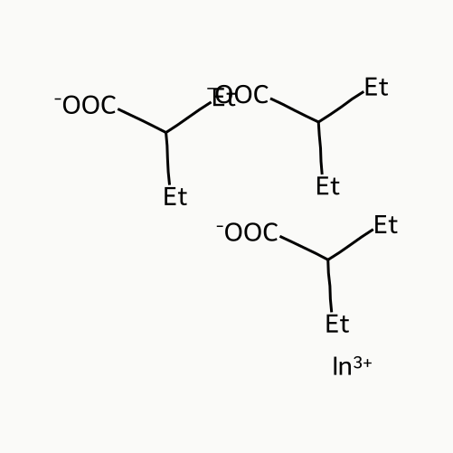 CCC(CC)C(=O)[O-].CCC(CC)C(=O)[O-].CCC(CC)C(=O)[O-].[In+3]